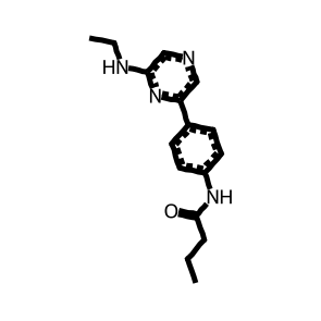 CCCC(=O)Nc1ccc(-c2cncc(NCC)n2)cc1